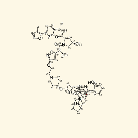 Cc1ncoc1-c1ccc([C@H](C)NC(=O)[C@@H]2C[C@@H](O)CN2C(=O)[C@H](c2cc(OCCN3CCC(O[C@H]4C[C@H](Oc5cc(N6C7CCC6CN(c6cc(-c8ccccc8O)nnc6N)C7)ccn5)C4)CC3)no2)C(C)C)cc1